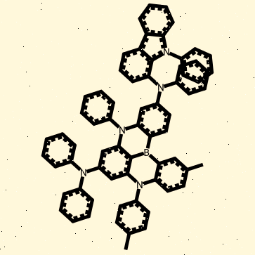 Cc1ccc(N2c3ccc(C)cc3B3c4ccc(N(c5ccccc5)c5cccc6c7ccccc7n(-c7ccccc7)c56)cc4N(c4ccccc4)c4cc(N(c5ccccc5)c5ccccc5)cc2c43)cc1